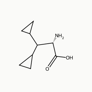 N[C@H](C(=O)O)C(C1CC1)C1CC1